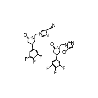 N#Cc1cn(CN2CC(c3cc(F)c(F)c(F)c3)CC2=O)cn1.O=C1CC(c2cc(F)c(F)c(F)c2)CN1Cn1cncc1Cl